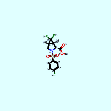 COC(=O)[C@@H]1[C@@H]2[C@H](CN1S(=O)(=O)c1ccc(F)cc1)C2(F)F